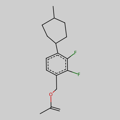 C=C(C)OCc1ccc(C2CCC(C)CC2)c(F)c1F